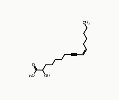 CCCCC/C=C\C#CCCCCCC(O)C(=O)O